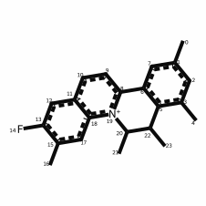 Cc1cc(C)c2c(c1)-c1ccc3cc(F)c(C)cc3[n+]1C(C)C2C